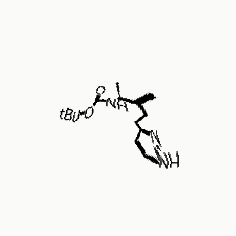 C=C(CCc1cc[nH]n1)[C@H](C)NC(=O)OC(C)(C)C